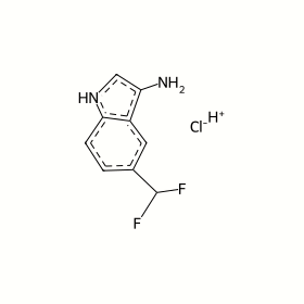 Nc1c[nH]c2ccc(C(F)F)cc12.[Cl-].[H+]